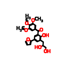 COc1cc(C(=O)c2cc(-c3ccco3)cc(CC(O)CO)c2O)cc(OC)c1OC